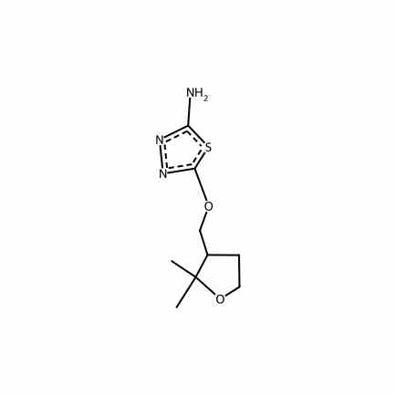 CC1(C)OCCC1COc1nnc(N)s1